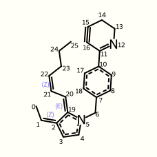 C/C=c1/ccn(Cc2ccc(C3=NCCC#C3)cc2)/c1=C/C=C\CCC